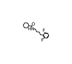 O=C(NCCCCc1c(F)cccc1F)C1CCCCC1